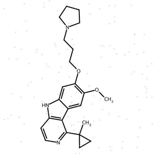 COc1cc2c(cc1OCCCN1CCCC1)[nH]c1ccnc(C3(C)CC3)c12